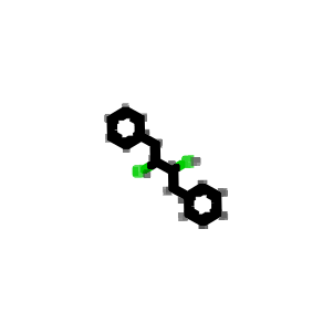 ClC(=Cc1ccccc1)C(Cl)=Cc1ccccc1